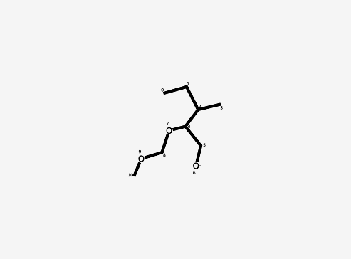 CCC(C)C(C[O])OCOC